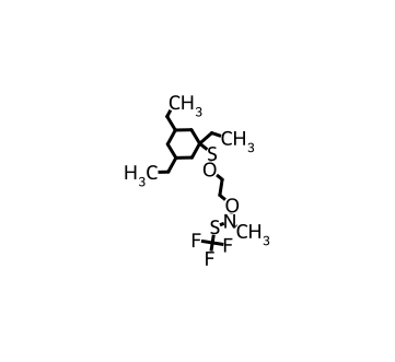 CCC1CC(CC)CC(CC)(SOCCON(C)SC(F)(F)F)C1